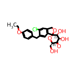 CCOc1ccc(Cc2cc3c(cc2Cl)COC32O[C@H](CO)C(=O)[C@H](O)[C@@H]2O)cc1